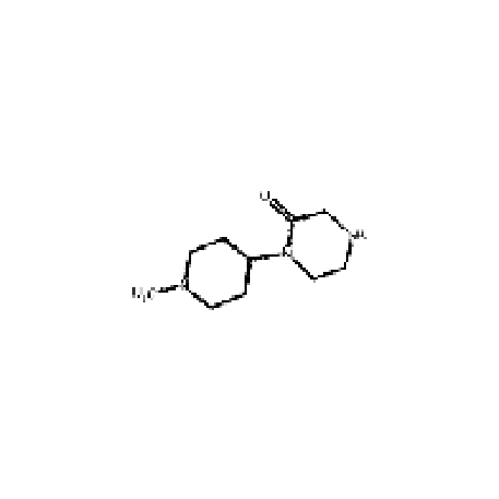 CN1CCC(N2CCNCC2=O)CC1